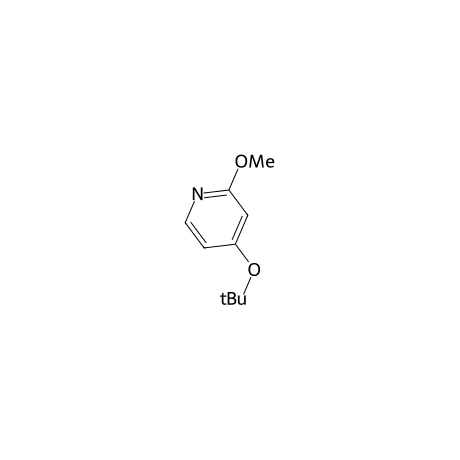 COc1cc(OC(C)(C)C)ccn1